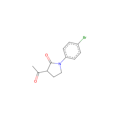 CC(=O)C1CCN(c2ccc(Br)cc2)C1=O